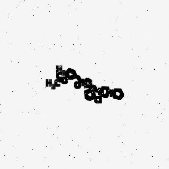 CC(C)Oc1cccc(CC(=O)N2CCC(CCN3CCC(N4CCCCC4)CC3)(c3cccc(Cl)c3)C2)c1